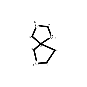 C1CC2(CO1)COCO2